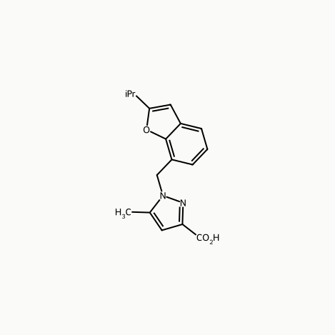 Cc1cc(C(=O)O)nn1Cc1cccc2cc(C(C)C)oc12